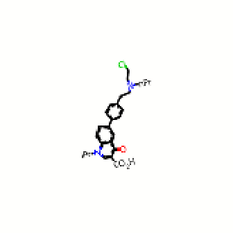 CCCN(CCCl)CCc1ccc(-c2ccc3c(c2)c(=O)c(C(=O)O)cn3C(C)C)cc1